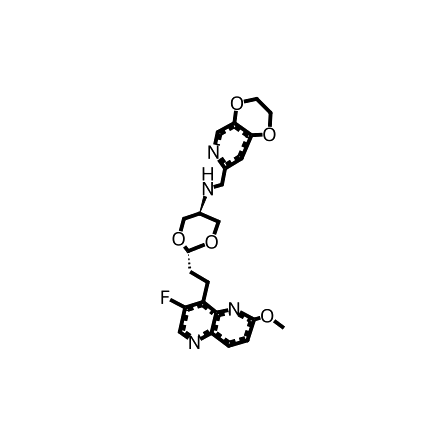 COc1ccc2ncc(F)c(CC[C@H]3OC[C@H](NCc4cc5c(cn4)OCCO5)CO3)c2n1